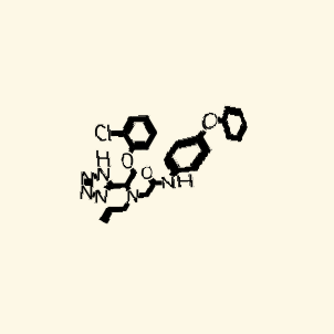 C=CCN(CC(=O)Nc1ccc(Oc2ccccc2)cc1)C(COc1ccccc1Cl)c1nnn[nH]1